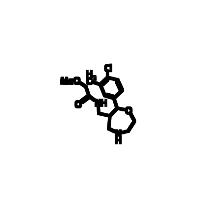 COCC(=O)NCC1CNCCOC1c1ccc(Cl)c(C)c1